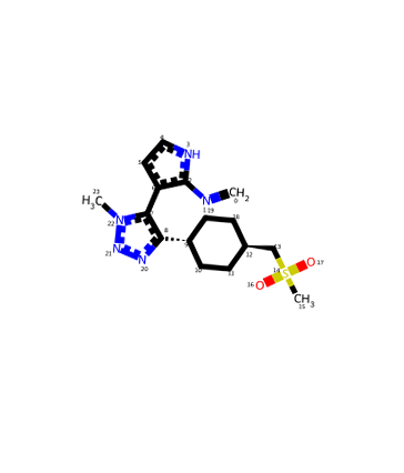 C=Nc1[nH]ccc1-c1c([C@H]2CC[C@H](CS(C)(=O)=O)CC2)nnn1C